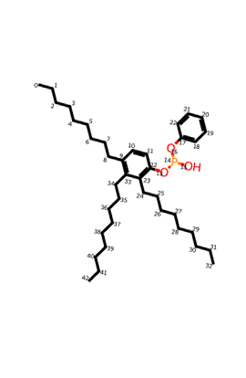 CCCCCCCCCc1ccc(OP(O)Oc2ccccc2)c(CCCCCCCCC)c1CCCCCCCCC